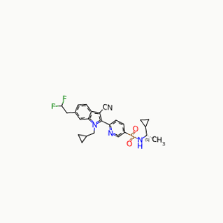 C[C@H](NS(=O)(=O)c1ccc(-c2c(C#N)c3ccc(CC(F)F)cc3n2CC2CC2)nc1)C1CC1